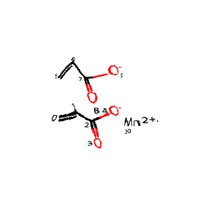 C=CC(=O)[O-].C=CC(=O)[O-].[Mn+2]